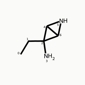 CCC1(N)C2NC21